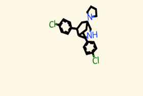 Clc1ccc(C2CC3(N4CCCC4)CNCC2C(c2ccc(Cl)cc2)C3)cc1